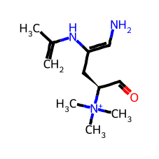 C=C(C)N/C(=C\N)C[C@@H](C=O)[N+](C)(C)C